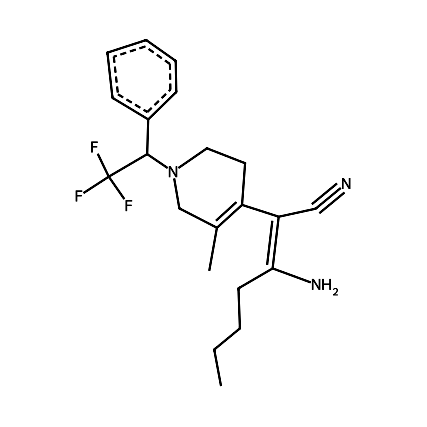 CCCC/C(N)=C(/C#N)C1=C(C)CN(C(c2ccccc2)C(F)(F)F)CC1